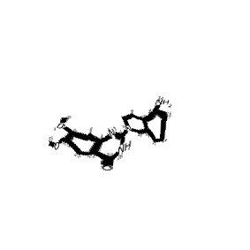 COc1cc2nc(N3CCc4c(N)cccc4C3)[nH]c(=O)c2cc1OC